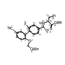 COCOc1ccc(C#N)cc1-c1ccc(C(N[C@@H](CC(C)C)C(=O)OC)C(F)(F)F)cc1F